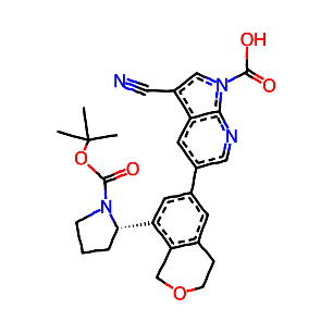 CC(C)(C)OC(=O)N1CCC[C@H]1c1cc(-c2cnc3c(c2)c(C#N)cn3C(=O)O)cc2c1COCC2